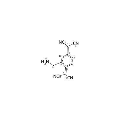 N#CC(C#N)=c1ccc(=C(C#N)C#N)c(CN)c1